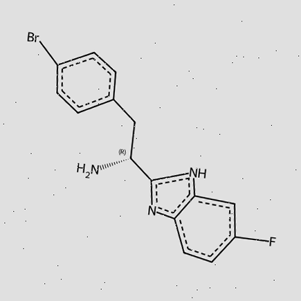 N[C@H](Cc1ccc(Br)cc1)c1nc2ccc(F)cc2[nH]1